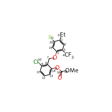 CCc1cc(C(F)(F)F)c(OCc2c(Cl)cccc2OC(=O)OC)cc1F